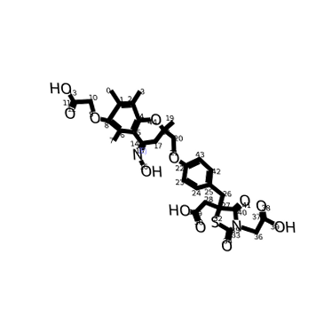 Cc1c(C)c2c(c(C)c1OCC(=O)O)/C(=N/O)CC(C)(COc1ccc(CC3(CC(=O)O)SC(=O)N(CC(=O)O)C3=O)cc1)O2